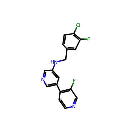 Fc1cc(CNc2cncc(-c3ccncc3F)c2)ccc1Cl